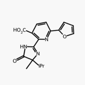 CC(C)C1(C)N=C(c2nc(-c3ccco3)ccc2C(=O)O)NC1=O